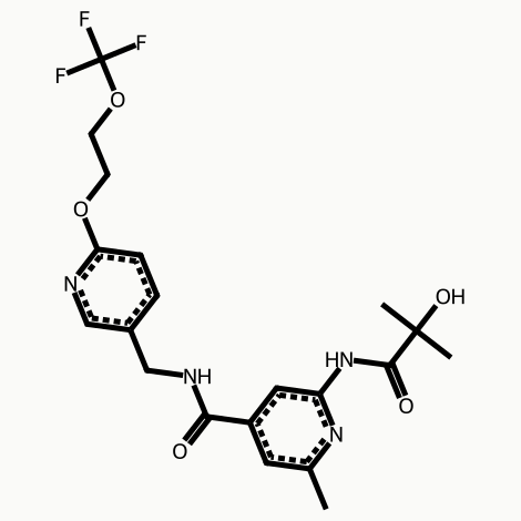 Cc1cc(C(=O)NCc2ccc(OCCOC(F)(F)F)nc2)cc(NC(=O)C(C)(C)O)n1